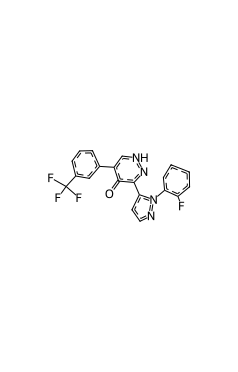 O=c1c(-c2cccc(C(F)(F)F)c2)c[nH]nc1-c1ccnn1-c1ccccc1F